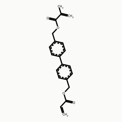 C=CC(=O)OCc1ccc(-c2ccc(COC(=O)C(=C)C)cc2)cc1